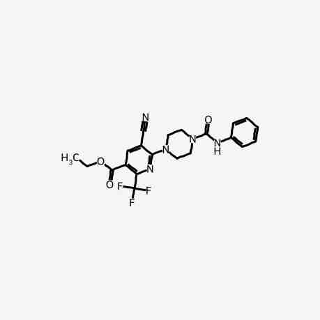 CCOC(=O)c1cc(C#N)c(N2CCN(C(=O)Nc3ccccc3)CC2)nc1C(F)(F)F